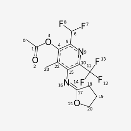 CC(=O)Oc1c(C(F)F)nc(C(F)(F)F)c(N=C2CCCO2)c1C